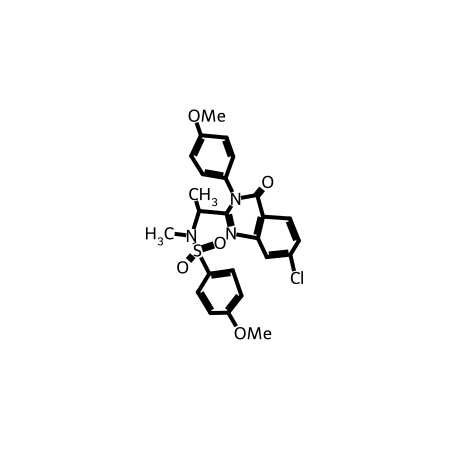 COc1ccc(-n2c(C(C)N(C)S(=O)(=O)c3ccc(OC)cc3)nc3cc(Cl)ccc3c2=O)cc1